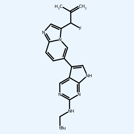 C=C(C)C(F)c1cnc2ccc(-c3c[nH]c4nc(NCC(C)(C)C)ncc34)cn12